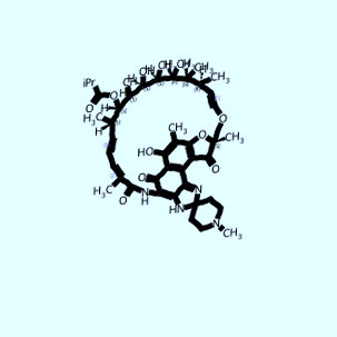 C/C1=C/C=C/[C@H](C)[C@H](OC(=O)C(C)C)[C@@H](C)[C@@H](O)[C@@H](C)[C@H](C)[C@H](C)[C@@H](C)/C=C/O[C@@]2(C)Oc3c(C)c(O)c4c(c3C2=O)C2=NC3(CCN(C)CC3)NC2=C(NC1=O)C4=O